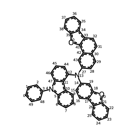 c1ccc(-n2c3ccccc3c3c(N(c4ccc5c(c4)oc4ccccc45)c4ccc5ccc6c7ccccc7oc6c5c4)cccc32)cc1